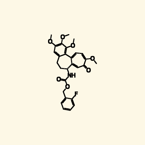 COc1cc2c(c(OC)c1OC)-c1ccc(OC)c(=O)cc1C(NC(=O)OCc1ccccc1F)CC2